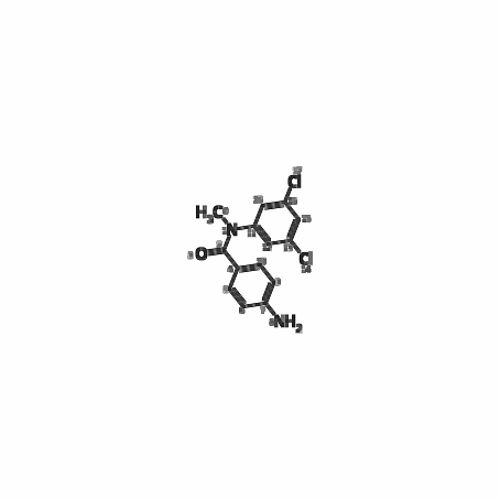 CN(C(=O)c1ccc(N)cc1)c1cc(Cl)cc(Cl)c1